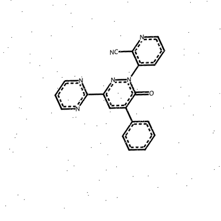 N#Cc1ncccc1-n1nc(-c2ncccn2)cc(-c2ccccc2)c1=O